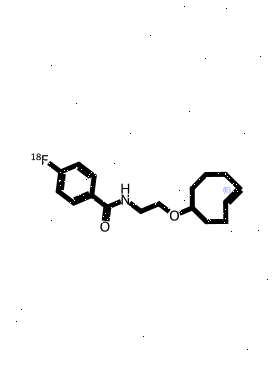 O=C(NCCOC1CC/C=C/CCC1)c1ccc([18F])cc1